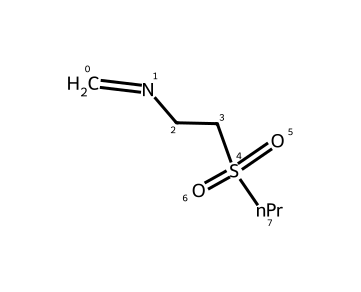 C=NCCS(=O)(=O)CCC